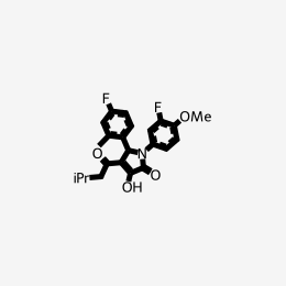 COc1ccc(N2C(=O)C(O)=C(C(=O)CC(C)C)C2c2ccc(F)cc2C)cc1F